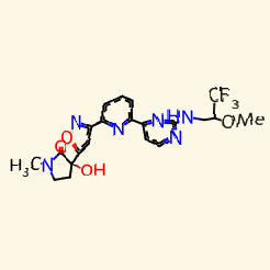 COC(CNc1nccc(-c2cccc(-c3cc([C@]4(O)CCN(C)C4=O)on3)n2)n1)C(F)(F)F